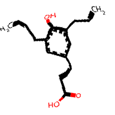 C=CCc1cc(C=CC(=O)O)cc(CC=C)c1O